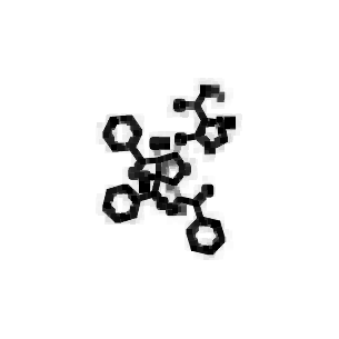 NC(=O)c1[nH]cnc1O[C@@H]1O[C@H](C(O)C(=O)c2ccccc2)[C@](O)(C(=O)c2ccccc2)[C@@]1(O)C(=O)c1ccccc1